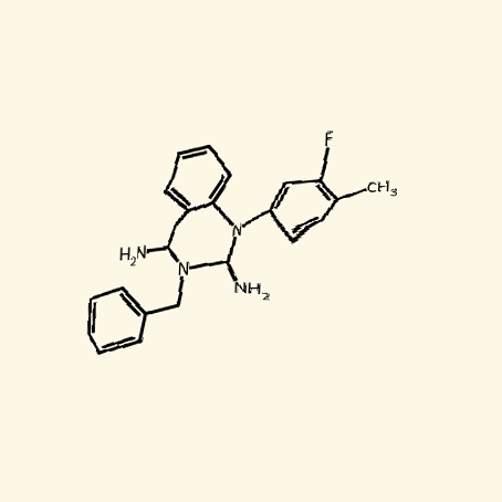 Cc1ccc(N2c3ccccc3C(N)N(Cc3ccccc3)C2N)cc1F